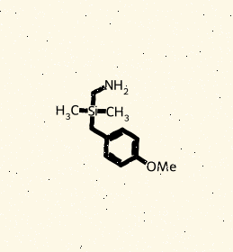 COc1ccc(C[Si](C)(C)CN)cc1